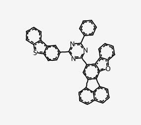 c1ccc(-c2nc(-c3ccc4sc5ccccc5c4c3)nc(-c3cc4c(c5oc6ccccc6c35)-c3cccc5cccc-4c35)n2)cc1